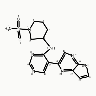 CS(=O)(=O)N1CCCC(Nc2ncncc2-c2cnc3[nH]ccc3n2)C1